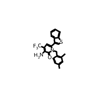 Cc1ccc(Cn2c(-c3csc4ccccc34)cc(C(F)(F)F)c(N)c2=O)c(C)c1